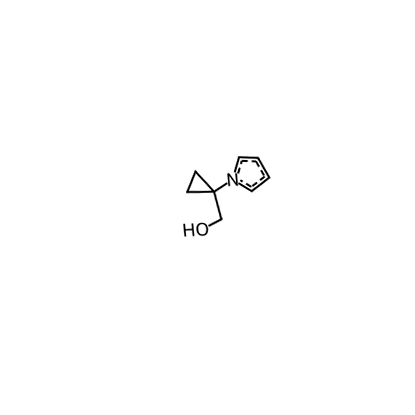 OCC1(n2cccc2)CC1